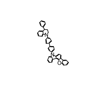 c1ccc(C2CCN(c3ccc(-c4ccc(-n5c6ccccc6c6c7oc8ccccc8c7ccc65)cc4)cc3)c3ccccc32)cc1